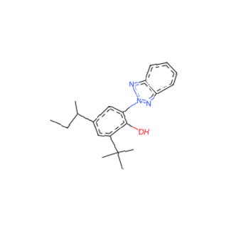 CCC(C)c1cc(-n2nc3ccccc3n2)c(O)c(C(C)(C)C)c1